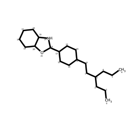 CCCC(CCC)CCC1CCC(C2NC3CCCCC3O2)CC1